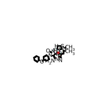 CN(C)C(C)(C)/C=C(/C#N)C(=O)N1CCC[C@H]1Cn1c(=O)n(-c2ccc(Oc3ccccc3)cc2)c2c(N)ncnc21